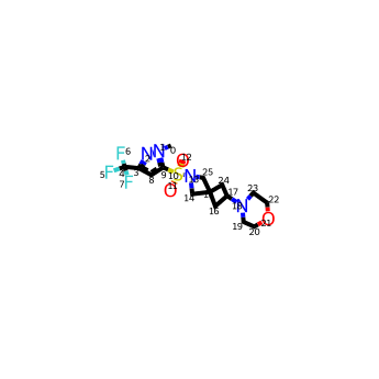 Cn1nc(C(F)(F)F)cc1S(=O)(=O)N1CC2(CC(N3CCOCC3)C2)C1